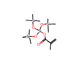 C=C(C)C(=O)O[Si](O[Si](C)(C)C)(O[Si](C)(C)C)O[Si](C)(C)C